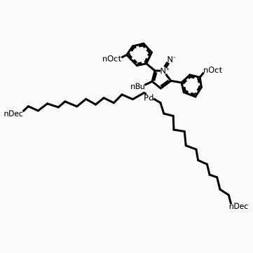 CCCCCCCCCCCCCCCCCCCCCC[CH2][Pd][CH2]CCCCCCCCCCCCCCCCCCCCCC.CCCCCCCCc1cccc(C2=CC(CCCC)=C(c3cccc(CCCCCCCC)c3)[N+]2=[N-])c1